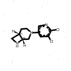 Clc1cc(N2CC[C@H]3CN[C@H]3C2)cnc1Cl